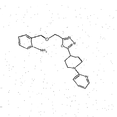 Nc1ccccc1COCc1nnc(C2CCN(c3ccccn3)CC2)o1